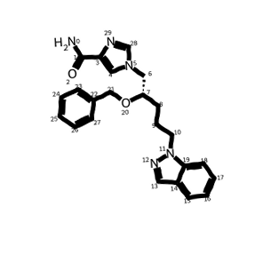 NC(=O)c1cn(C[C@H](CCCn2ncc3ccccc32)OCc2ccccc2)cn1